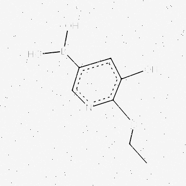 CCOc1ncc(B(O)O)cc1O